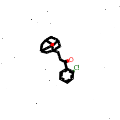 O=C(CCC12CC3CC(CC(C3)C1)C2)c1ccccc1Cl